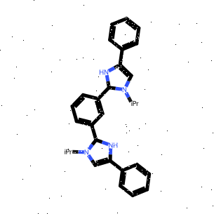 CC(C)N1C=C(c2ccccc2)NC1c1cccc(C2NC(c3ccccc3)=CN2C(C)C)c1